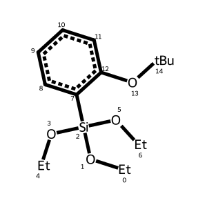 CCO[Si](OCC)(OCC)c1ccccc1OC(C)(C)C